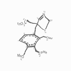 CCOC(=O)C1(c2ccc(OC)c(OC)c2OC)C=NCS1